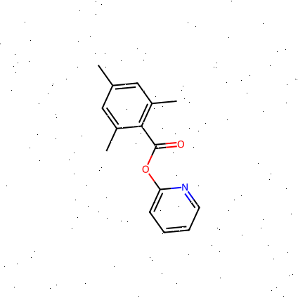 Cc1cc(C)c(C(=O)Oc2ccccn2)c(C)c1